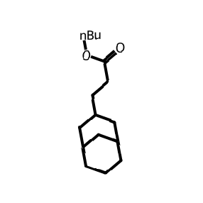 CCCCOC(=O)CCC1CC2CCCC(C2)C1